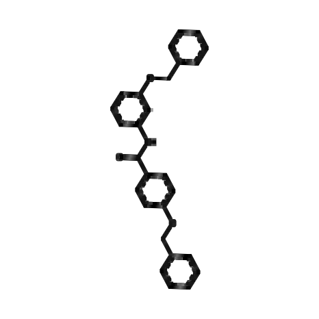 O=C(Nc1[c]c(OCc2ccccc2)ccc1)c1ccc(OCc2ccccc2)cc1